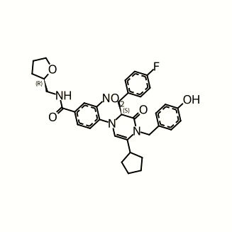 O=C(NC[C@H]1CCCO1)c1ccc(N2C=C(C3CCCC3)N(Cc3ccc(O)cc3)C(=O)[C@@H]2Cc2ccc(F)cc2)c([N+](=O)[O-])c1